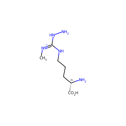 C/N=C(/NN)NCCC[C@H](N)C(=O)O